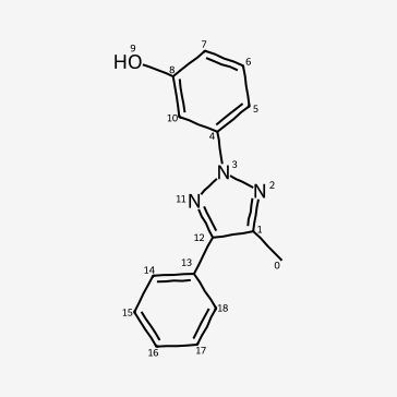 Cc1nn(-c2cccc(O)c2)nc1-c1ccccc1